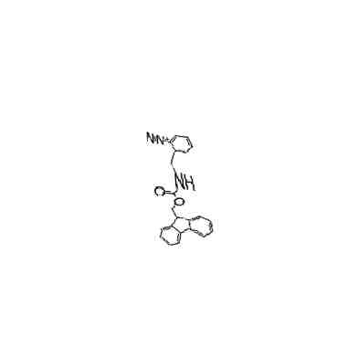 N#[N+]c1ccccc1CNC(=O)OCC1c2ccccc2-c2ccccc21